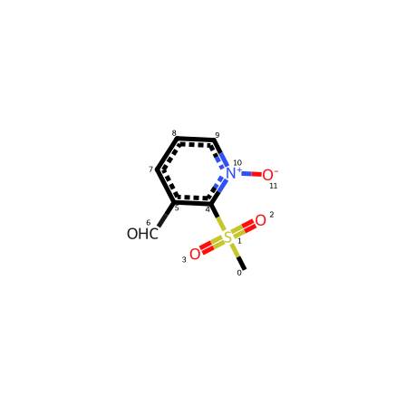 CS(=O)(=O)c1c(C=O)ccc[n+]1[O-]